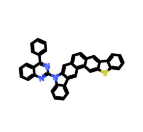 c1ccc(-c2nc(-n3c4ccccc4c4cc5c(ccc6cc7c(cc65)sc5ccccc57)cc43)nc3ccccc23)cc1